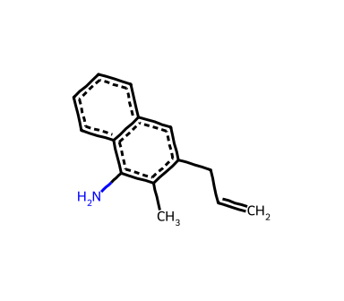 C=CCc1cc2ccccc2c(N)c1C